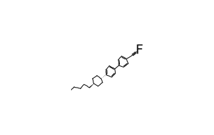 CCCCC[C@H]1CC[C@H](c2ccc(-c3ccc(C#CF)cc3)cc2)CC1